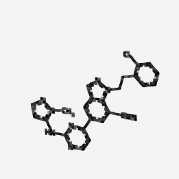 Cn1nccc1Nc1nccc(-c2cc(C#N)c3c(cnn3CCc3ccccc3Cl)c2)n1